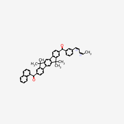 C/C=C\C=C/c1cccc(C(=O)c2ccc3c(c2)C(C)(C)c2cc4c(cc2-3)C(C)(C)c2cc(C(=O)c3cccc5ccccc35)ccc2-4)c1